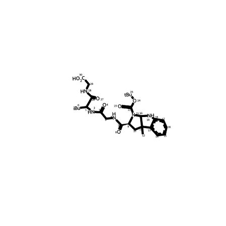 CCC(C)C(NC(=O)CNC(=O)[C@@H]1CC2(C)c3ccccc3NC2N1C(=O)OC(C)(C)C)C(=O)NCC(=O)O